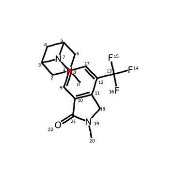 CN1CC2CC(C1)N2c1cc2c(c(C(F)(F)F)c1)CN(C)C2=O